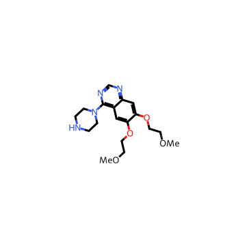 COCCOc1cc2ncnc(N3CCNCC3)c2cc1OCCOC